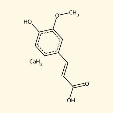 COc1cc(C=CC(=O)O)ccc1O.[CaH2]